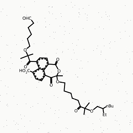 CCCCC(CC)COC(C)(C)C(=O)CCCCCOC1(C)OC(=O)c2ccc(C(=O)C(C)(C)OCCCCCC=O)c3c(C(=O)O)ccc(c23)C1=O